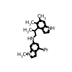 Cc1cc2[nH]ccc2c(C(C)CNc2cc(C(C)C)c3ccn(C)c3c2)c1C